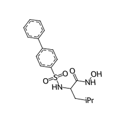 CC(C)CC(NS(=O)(=O)c1ccc(-c2ccccc2)cc1)C(=O)NO